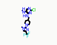 CNc1cnc(Cl)nc1NCC1CCN(c2nc(C(F)(F)F)cn2C)CC1